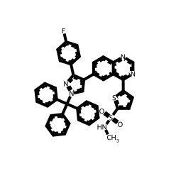 CNS(=O)(=O)c1ccc(-c2ncnc3ccc(-c4cn(C(c5ccccc5)(c5ccccc5)c5ccccc5)nc4-c4ccc(F)cc4)cc23)s1